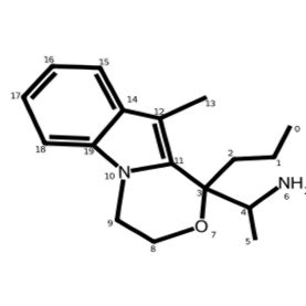 CCCC1(C(C)N)OCCn2c1c(C)c1ccccc12